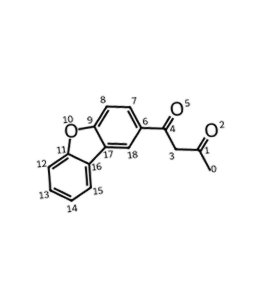 CC(=O)CC(=O)c1ccc2oc3ccccc3c2c1